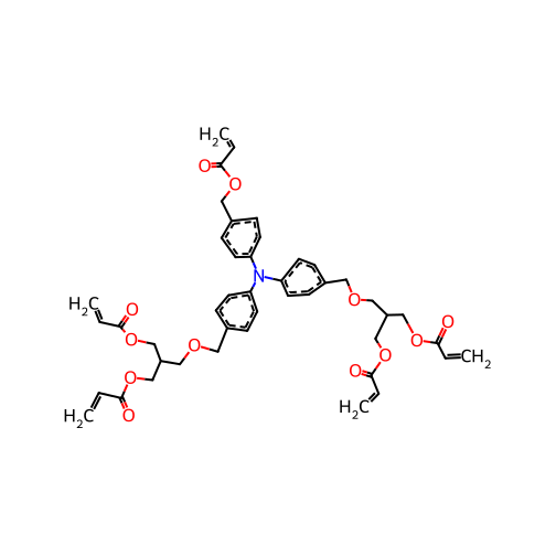 C=CC(=O)OCc1ccc(N(c2ccc(COCC(COC(=O)C=C)COC(=O)C=C)cc2)c2ccc(COCC(COC(=O)C=C)COC(=O)C=C)cc2)cc1